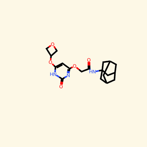 O=C(COc1cc(OC2COC2)[nH]c(=O)n1)NC12CC3CC(CC(C3)C1)C2